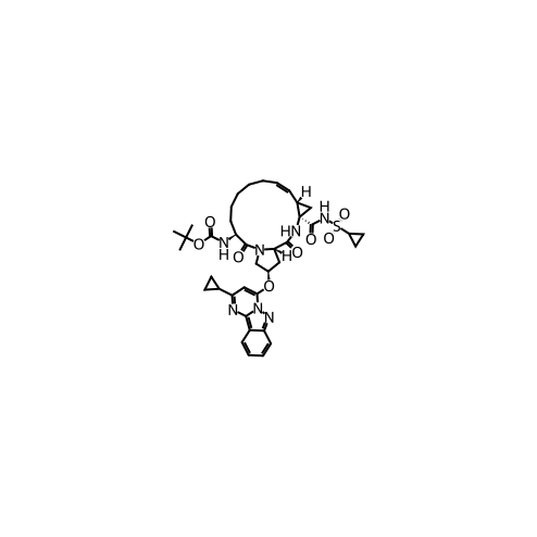 CC(C)(C)OC(=O)N[C@H]1CCCCC/C=C\[C@@H]2C[C@@]2(C(=O)NS(=O)(=O)C2CC2)NC(=O)[C@@H]2C[C@@H](Oc3cc(C4CC4)nc4c5ccccc5nn34)CN2C1=O